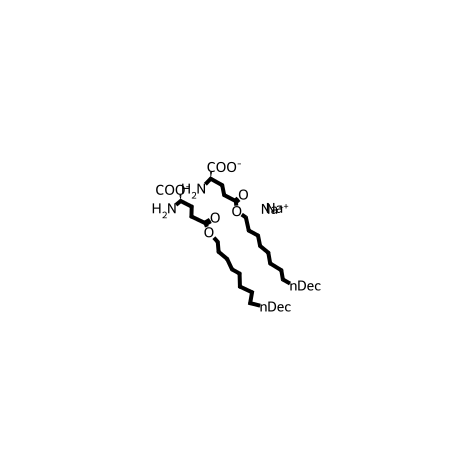 CCCCCCCCCCCCCCCCCCOC(=O)CC[C@H](N)C(=O)[O-].CCCCCCCCCCCCCCCCCCOC(=O)CC[C@H](N)C(=O)[O-].[Na+].[Na+]